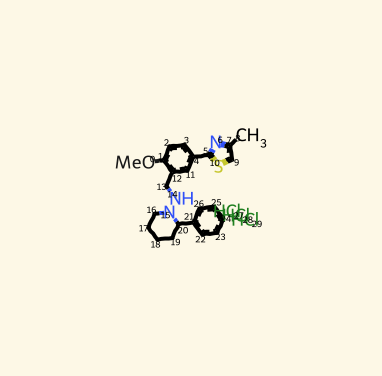 COc1ccc(-c2nc(C)cs2)cc1CNN1CCCCC1c1ccccc1.Cl.Cl.Cl